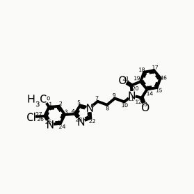 Cc1cc(-c2cn(CCCCN3C(=O)c4ccccc4C3=O)cn2)cnc1Cl